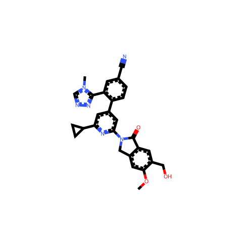 COc1cc2c(cc1CO)C(=O)N(c1cc(-c3ccc(C#N)cc3-c3nncn3C)cc(C3CC3)n1)C2